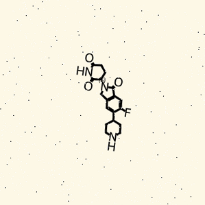 O=C1CC[C@H](N2Cc3cc(C4CCNCC4)c(F)cc3C2=O)C(=O)N1